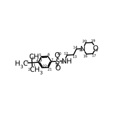 CC(C)(C)c1ccc(S(=O)(=O)NCCCN2CCOCC2)cc1